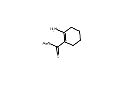 CNC(=O)C1=C(N)CCCC1